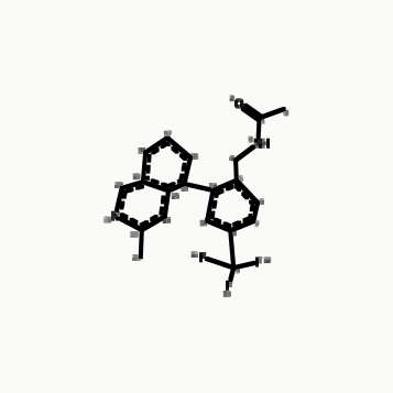 CC(=O)NCc1ccc(C(F)(F)F)cc1-c1cccc2cnc(C)cc12